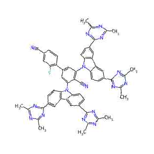 Cc1nc(C)nc(-c2ccc3c(c2)c2cc(-c4nc(C)nc(C)n4)ccc2n3-c2cc(-c3ccc(C#N)cc3F)cc(-n3c4ccc(-c5nc(C)nc(C)n5)cc4c4cc(-c5nc(C)nc(C)n5)ccc43)c2C#N)n1